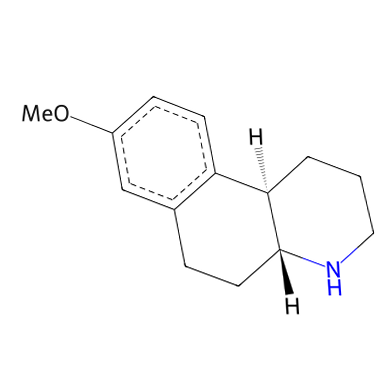 COc1ccc2c(c1)CC[C@H]1NCCC[C@H]21